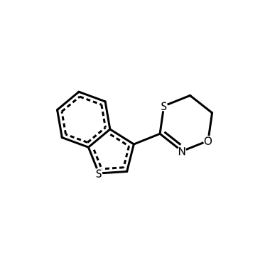 c1ccc2c(C3=NOCCS3)csc2c1